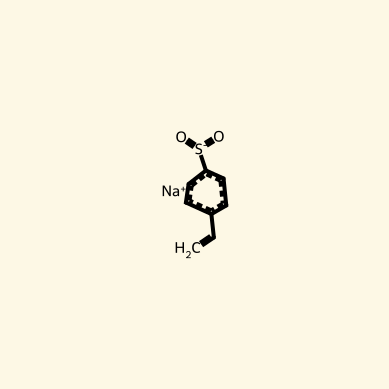 C=Cc1ccc([S-](=O)=O)cc1.[Na+]